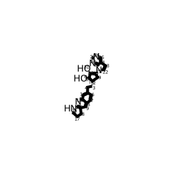 O[C@@H]1[C@@H](CCc2ccc3cc4c(nc3c2)NCCC4)C[C@@H](n2ccc3cncnc32)[C@@H]1O